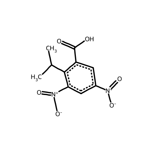 CC(C)c1c(C(=O)O)cc([N+](=O)[O-])cc1[N+](=O)[O-]